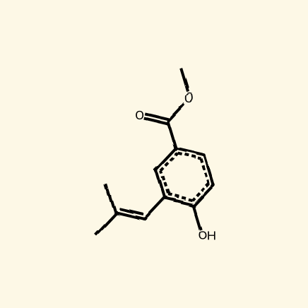 COC(=O)c1ccc(O)c(C=C(C)C)c1